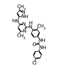 Cc1cc(Nc2cc(C)nc(Nc3ccc(NC(=O)Nc4ccc(Cl)cc4)cc3C)n2)[nH]n1